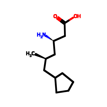 C[C@H](CC1CCCC1)C[C@H](N)CC(=O)O